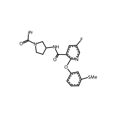 CSc1cccc(Oc2ncc(F)cc2C(=O)NC2CCN(C(=O)C(C)C)C2)c1